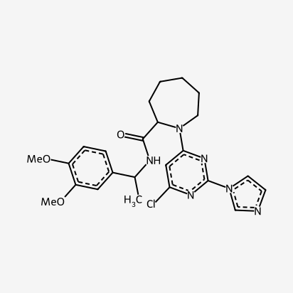 COc1ccc(C(C)NC(=O)C2CCCCCN2c2cc(Cl)nc(-n3ccnc3)n2)cc1OC